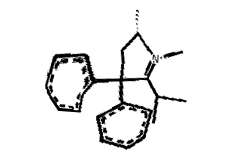 CC(C)C1=[N+](C)[C@@H](C)CC1(c1ccccc1)c1ccccc1